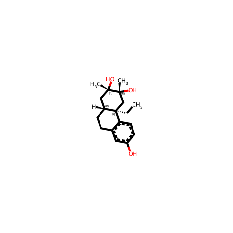 CC[C@@]12C[C@@](C)(O)[C@@](C)(O)C[C@H]1CCc1cc(O)ccc12